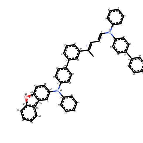 C/C(=C\C=C\N(c1ccccc1)c1ccc(-c2ccccc2)cc1)c1cccc(-c2ccc(N(c3ccccc3)c3ccc4oc5ccccc5c4c3)cc2)c1